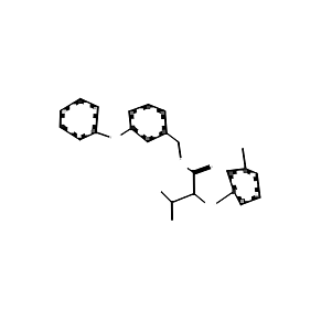 Cc1cccc(OC(C(=O)OCc2cccc(Oc3ccccc3)c2)C(C)C)c1